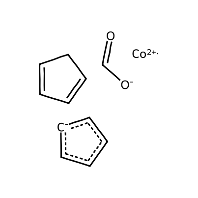 C1=CCC=C1.O=C[O-].[Co+2].c1cc[cH-]c1